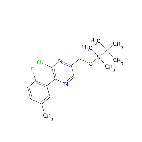 Cc1ccc(F)c(-c2ncc(CO[Si](C)(C)C(C)(C)C)nc2Cl)c1